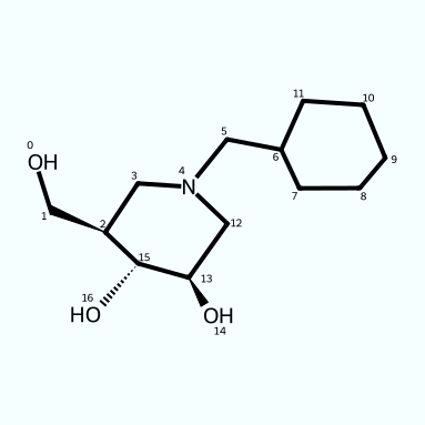 OC[C@H]1CN(CC2CCCCC2)C[C@@H](O)[C@@H]1O